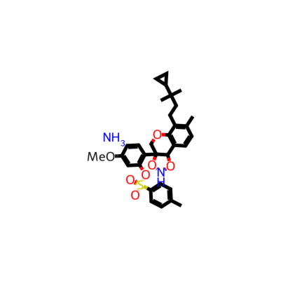 COc1ccc(C23COc4c(ccc(C)c4CCC(C)(C)C4CC4)C2ONO3)c(OS(=O)(=O)c2ccc(C)cc2)c1.N